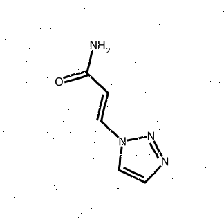 NC(=O)C=Cn1ccnn1